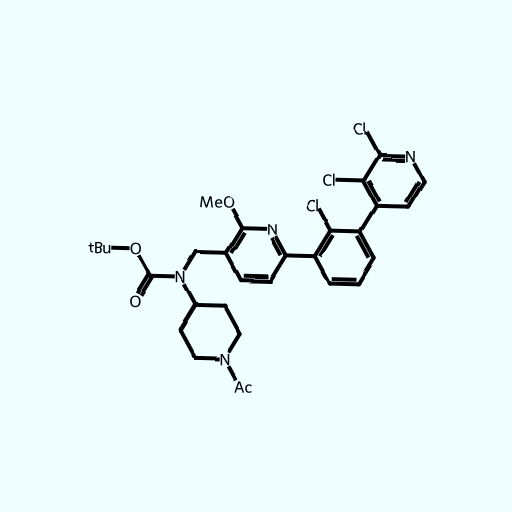 COc1nc(-c2cccc(-c3ccnc(Cl)c3Cl)c2Cl)ccc1CN(C(=O)OC(C)(C)C)C1CCN(C(C)=O)CC1